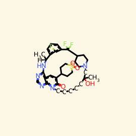 C[C@H]1Nc2ncnc3c2cc(C2CCS(=O)(=O)CC2)c(=O)n3CCCCCC(C)(O)CN2CCC(CC2)C(F)(F)c2cccc1c2F